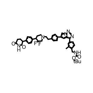 Cc1cc(-c2ncnn3cc(-c4ccc(CCN5CCC(c6ccc(C7CCC(=O)NC7=O)cc6)C(F)(F)C5)cc4)cc23)ccc1CNC(=O)OC(C)(C)C